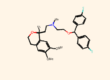 CCC1(CCN(CCOC(c2ccc(F)cc2)c2ccc(F)cc2)C(C)C)OCCc2cc(OC)c(OC)cc21